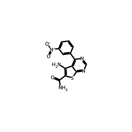 NC(=O)c1sc2ncnc(-c3cccc([N+](=O)[O-])c3)c2c1N